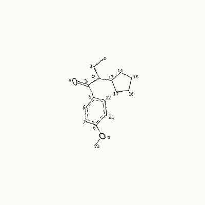 CCC(C(=O)c1ccc(OC)cc1)C1CCCC1